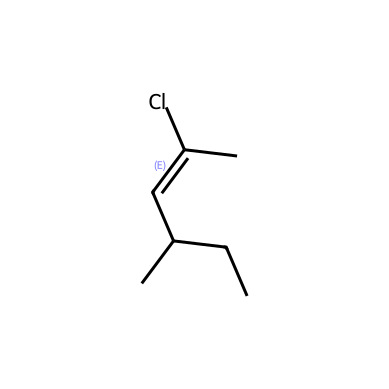 CCC(C)/C=C(\C)Cl